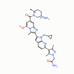 COc1cc(C(=O)N2C[C@H](N)CC[C@@H]2C)cc2nc(-c3cc4ccc(-c5c(C)nn(CC(N)=O)c5C)nc4n3CC3CC3)c(C)n12